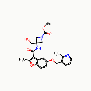 Cc1oc2ccc(OCc3cccnc3C(F)(F)F)cc2c1C(=O)NC1(CO)CN(C(=O)OC(C)(C)C)C1